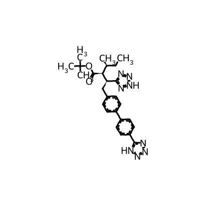 CC[C@H](C)[C@H](C(=O)OC(C)(C)C)[C@H](Cc1ccc(-c2ccc(-c3nnn[nH]3)cc2)cc1)c1nn[nH]n1